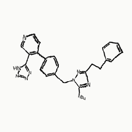 CCCCc1nc(CCc2ccccc2)nn1Cc1ccc(-c2ccncc2-c2nnn[nH]2)cc1